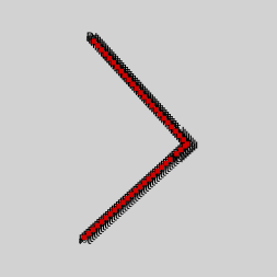 [Pt].[Pt].[Pt].[Pt].[Pt].[Pt].[Pt].[Pt].[Pt].[Pt].[Pt].[Pt].[Pt].[Pt].[Pt].[Pt].[Pt].[Pt].[Pt].[Pt].[Pt].[Pt].[Pt].[Pt].[Pt].[Pt].[Pt].[Pt].[Pt].[Pt].[Pt].[Pt].[Pt].[Pt].[Pt].[Pt].[Pt].[Pt].[Pt].[Pt].[Pt].[Pt].[Pt].[Pt].[Pt].[Pt].[Pt].[Pt].[Pt].[Pt].[Pt].[Pt].[Pt].[Pt].[Pt].[Pt].[Pt].[Pt].[Pt].[Pt].[Pt].[Pt].[Pt].[Pt].[Pt].[Pt].[Pt].[Pt].[Pt].[Pt].[Pt].[Pt].[Pt].[Pt].[Pt].[Pt].[Pt].[Pt].[Pt].[Pt].[Pt].[Pt].[Pt].[Pt].[Pt].[Ru].[Ru].[Ru].[Ru].[Ru].[Ru].[Ru].[Ru].[Ru].[Ru].[Ru].[Ru].[Ru].[Ru].[Ru]